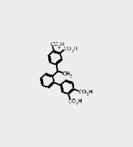 CC(c1ccc(C(=O)O)c(C(=O)O)c1)c1ccccc1-c1ccc(C(=O)O)c(C(=O)O)c1